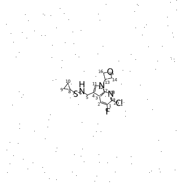 Fc1cc2c(CNSC3CC3)cn(C3COC3)c2nc1Cl